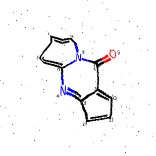 O=c1c2c(nc3cccn13)C=[C]C=2